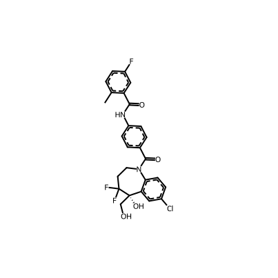 Cc1ccc(F)cc1C(=O)Nc1ccc(C(=O)N2CCC(F)(F)[C@](O)(CO)c3cc(Cl)ccc32)cc1